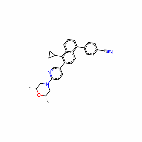 C[C@@H]1CN(c2ccc(-c3ccc4c(-c5ccc(C#N)cc5)cccc4c3C3CC3)cn2)C[C@H](C)O1